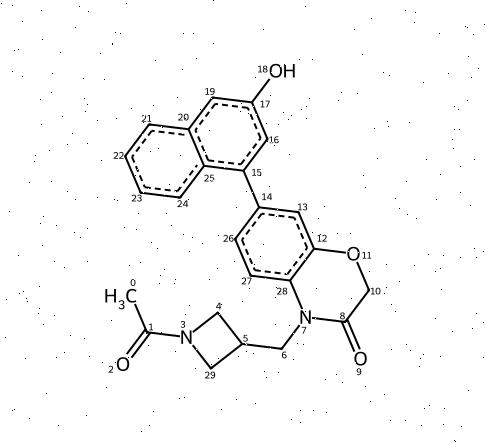 CC(=O)N1CC(CN2C(=O)COc3cc(-c4cc(O)cc5ccccc45)ccc32)C1